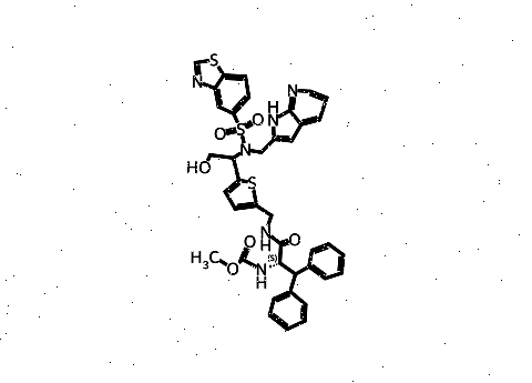 COC(=O)N[C@H](C(=O)NCc1ccc(C(CO)N(Cc2cc3cccnc3[nH]2)S(=O)(=O)c2ccc3scnc3c2)s1)C(c1ccccc1)c1ccccc1